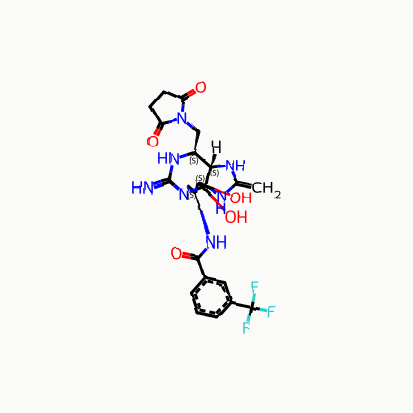 C=C1N[C@H]2[C@H](CN3C(=O)CCC3=O)NC(=N)N3C[C@H](NC(=O)c4cccc(C(F)(F)F)c4)C(O)(O)[C@]23N1